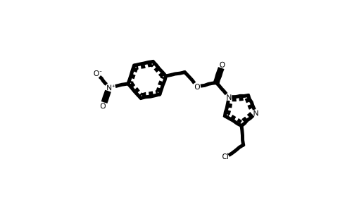 O=C(OCc1ccc([N+](=O)[O-])cc1)n1cnc(CCl)c1